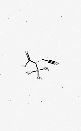 C#CC[C@@H](C(=O)O)[N+](C)(C)C